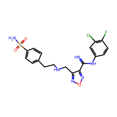 N=C(Nc1ccc(F)c(Cl)c1)c1nonc1CNCCc1ccc(S(N)(=O)=O)cc1